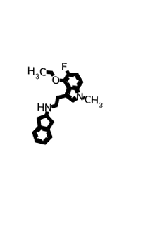 CCOc1c(F)ccc2c1c(CCNC1Cc3ccccc3C1)cn2C